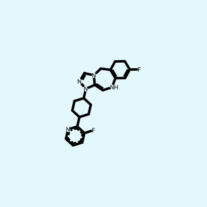 FC1=CC2=C(CC1)CN1C=NN(C3CCC(c4ncccc4F)CC3)C1=CN2